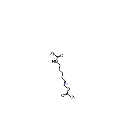 CCC(=O)NCCCC/C=C/OC(=O)C(C)C